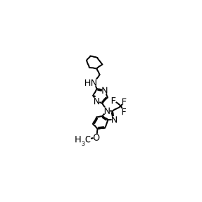 COc1ccc2c(c1)nc(C(F)(F)F)n2-c1cnc(NCC2CCCCC2)cn1